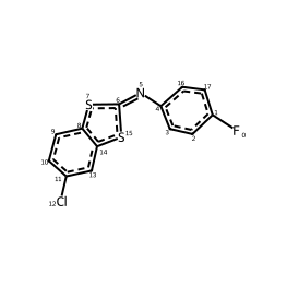 Fc1ccc(N=c2sc3ccc(Cl)cc3s2)cc1